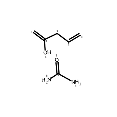 C=CCC(=C)O.NC(N)=O